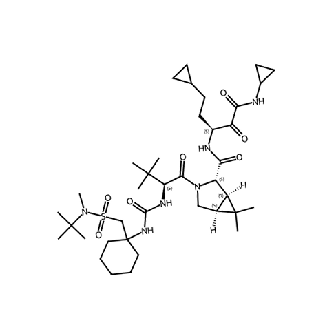 CN(C(C)(C)C)S(=O)(=O)CC1(NC(=O)N[C@H](C(=O)N2C[C@H]3[C@@H]([C@H]2C(=O)N[C@@H](CCC2CC2)C(=O)C(=O)NC2CC2)C3(C)C)C(C)(C)C)CCCCC1